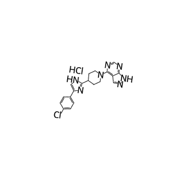 Cl.Clc1ccc(-c2c[nH]c(C3CCN(c4ncnc5[nH]ncc45)CC3)n2)cc1